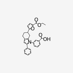 CCOC(=O)c1ccc(C2CCc3cc(-c4ccccc4)n(-c4cccc(C(=O)O)c4)c3C2)o1